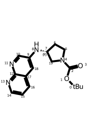 CC(C)(C)OC(=O)N1CC[C@@H](Nc2cnc3ncccc3c2)C1